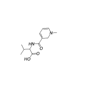 CC(C)C(NC(=O)C1=CC=CN(C)C1)C(=O)O